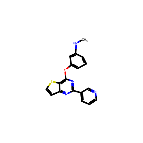 CNc1cccc(Oc2nc(-c3cccnc3)nc3ccsc23)c1